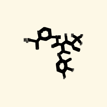 C=C/C(=C(F)\C(C(=O)Nc1ccnc(C(N)=O)c1)=C(/C)Oc1ccc(F)c(F)c1C)C(F)(F)F